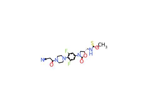 COC(=S)NC[C@H]1CN(c2cc(F)c(N3CCN(C(=O)CC#N)CC3)c(F)c2)C(=O)O1